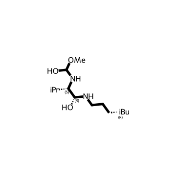 CC[C@@H](C)CCCN[C@H](O)[C@@H](NC(O)OC)C(C)C